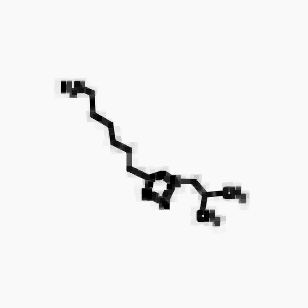 CC(C)Cn1cc(CCCCCCN)nn1